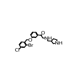 O=C(CNCC1CCNC1)c1cccc(OCc2ccc(Cl)cc2Br)c1